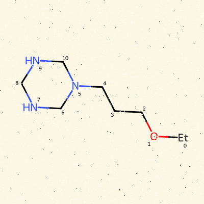 CCOCCCN1CNCNC1